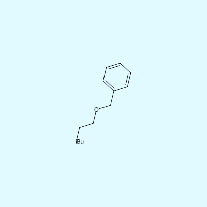 [CH2]CC(C)CCOCc1ccccc1